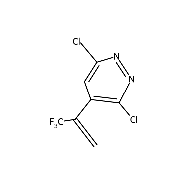 C=C(c1cc(Cl)nnc1Cl)C(F)(F)F